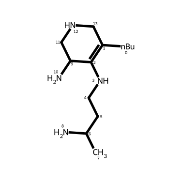 CCCCC1=C(NCCC(C)N)C(N)CNC1